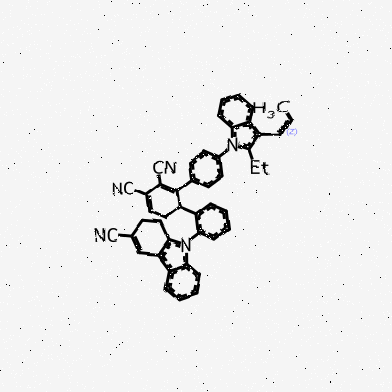 C/C=C\c1c(CC)n(-c2ccc(C3=C(C#N)C(C#N)=CCC3c3ccccc3-n3c4c(c5ccccc53)C=C(C#N)CC4)cc2)c2ccccc12